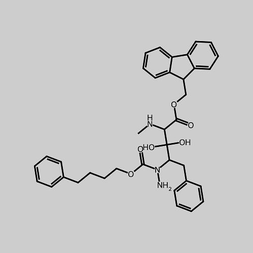 CNC(C(=O)OCC1c2ccccc2-c2ccccc21)C(O)(O)C(Cc1ccccc1)N(N)C(=O)OCCCCc1ccccc1